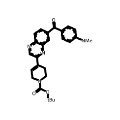 CNc1ccc(C(=O)c2ccc3ncc(C4=CCN(C(=O)OC(C)(C)C)CC4)nc3c2)cc1